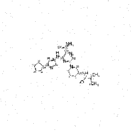 CN(C)C(=O)NC1CCCN(c2cnc(C(N)=O)c(Nc3cnn(C4CCCC4)c3)n2)C1